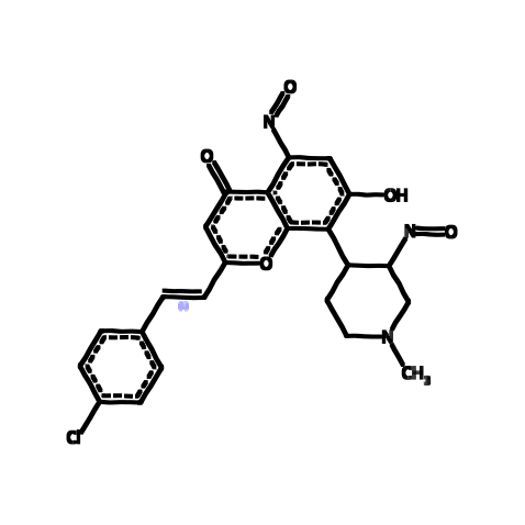 CN1CCC(c2c(O)cc(N=O)c3c(=O)cc(/C=C/c4ccc(Cl)cc4)oc23)C(N=O)C1